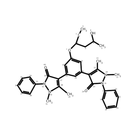 CCC(CC(C)O)Oc1[c]c(-c2c(C)n(C)n(-c3ccccc3)c2=O)cc(-c2c(C)n(C)n(-c3ccccc3)c2=O)c1